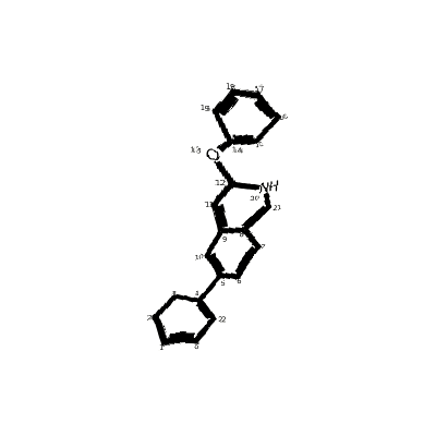 C1=CCCC(c2ccc3c(c2)=CC(Oc2ccccc2)NC=3)=C1